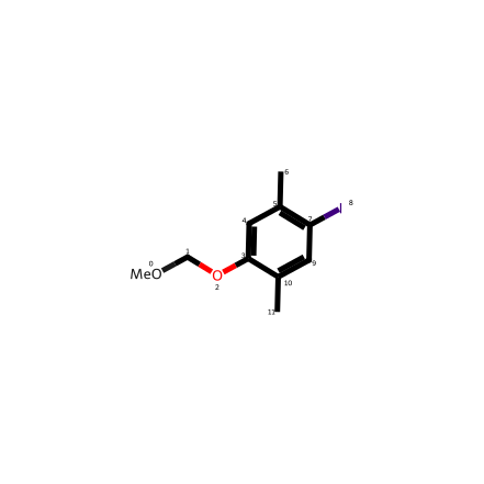 COCOc1cc(C)c(I)cc1C